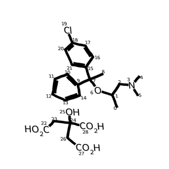 CC(CN(C)C)OC(C)(c1ccccc1)c1ccc(Cl)cc1.O=C(O)CC(O)(CC(=O)O)C(=O)O